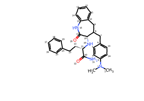 CN(C)c1ccc(CC2Cc3ccccc3NC(=O)[C@H]2N[C@@H](CCc2ccccc2)C(N)=O)cc1